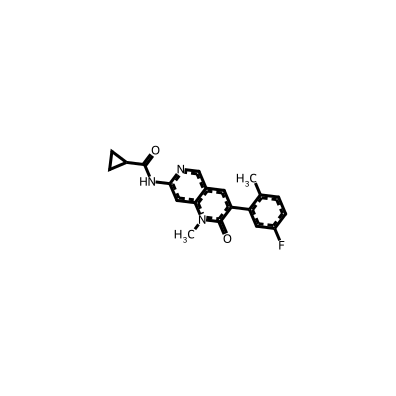 Cc1ccc(F)cc1-c1cc2cnc(NC(=O)C3CC3)cc2n(C)c1=O